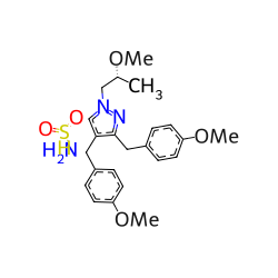 COc1ccc(Cc2cn(C[C@@H](C)OC)nc2Cc2ccc(OC)cc2)cc1.N[SH](=O)=O